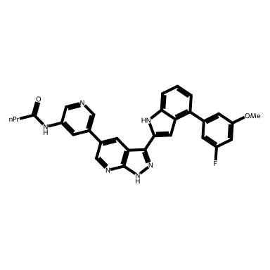 CCCC(=O)Nc1cncc(-c2cnc3[nH]nc(-c4cc5c(-c6cc(F)cc(OC)c6)cccc5[nH]4)c3c2)c1